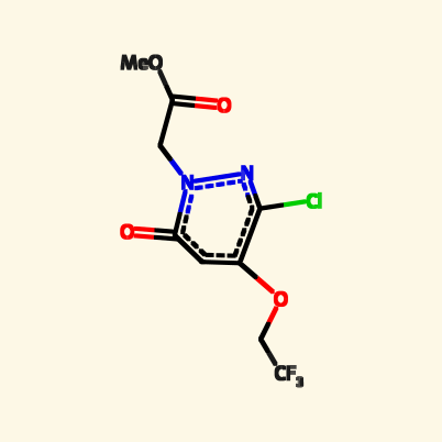 COC(=O)Cn1nc(Cl)c(OCC(F)(F)F)cc1=O